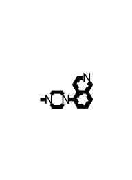 CN1CCN(c2cccc3cnccc23)CC1